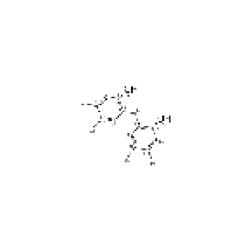 Cc1cc(O)c(Cc2cc(C)c(C)cc2O)cc1C